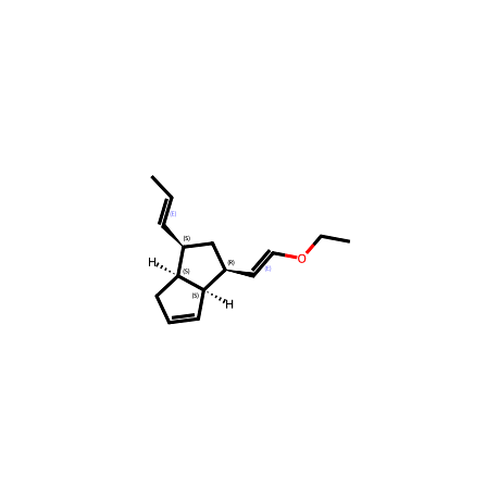 C/C=C/[C@H]1C[C@@H](/C=C/OCC)[C@H]2C=CC[C@H]21